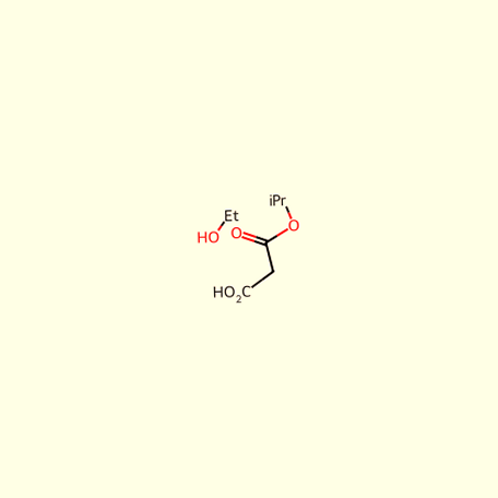 CC(C)OC(=O)CC(=O)O.CCO